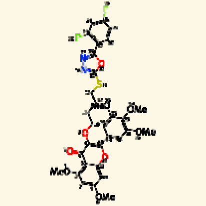 COc1cc(OC)c2c(=O)c(OCCCCSc3nnc(-c4ccc(F)cc4F)o3)c(-c3cc(OC)c(OC)c(OC)c3)oc2c1